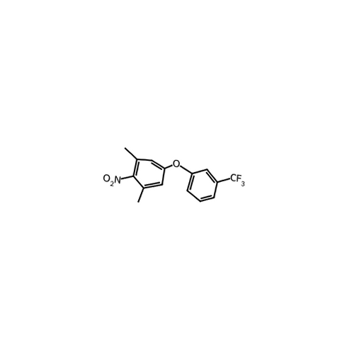 Cc1cc(Oc2cccc(C(F)(F)F)c2)cc(C)c1[N+](=O)[O-]